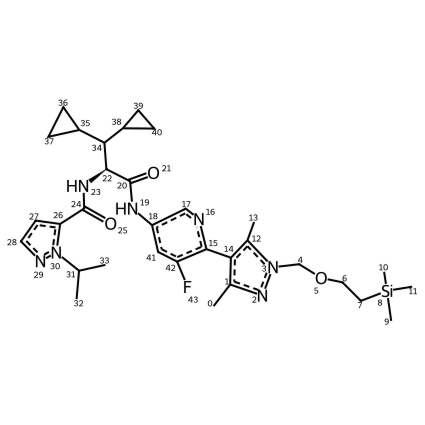 Cc1nn(COCC[Si](C)(C)C)c(C)c1-c1ncc(NC(=O)[C@@H](NC(=O)c2ccnn2C(C)C)C(C2CC2)C2CC2)cc1F